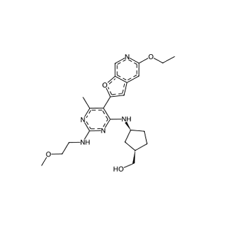 CCOc1cc2cc(-c3c(C)nc(NCCOC)nc3N[C@H]3CC[C@@H](CO)C3)oc2cn1